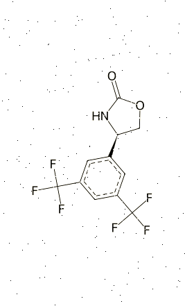 O=C1N[C@H](c2cc(C(F)(F)F)cc(C(F)(F)F)c2)CO1